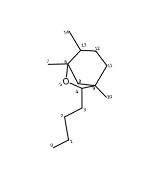 CCCCC1OC2(C)CC1(C)CCC2C